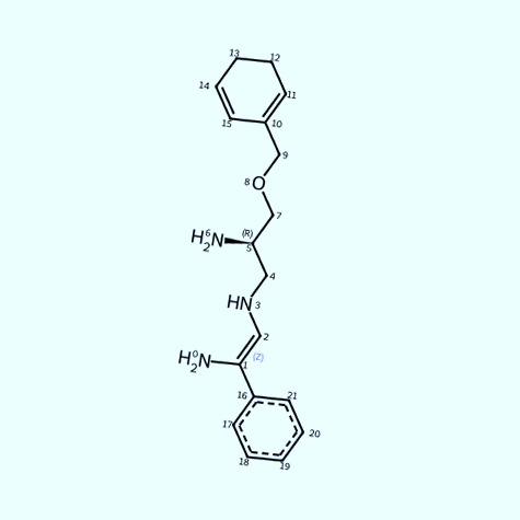 N/C(=C\NC[C@@H](N)COCC1=CCCC=C1)c1ccccc1